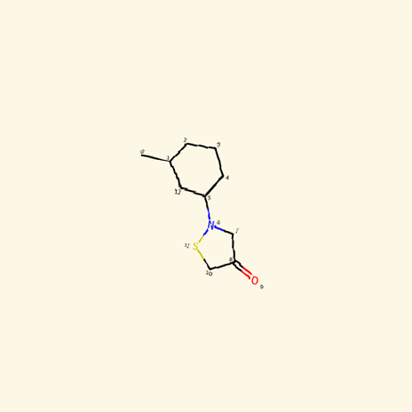 CC1CCCC(N2CC(=O)CS2)C1